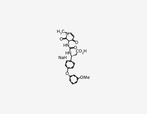 COc1cccc(Oc2ccc([C@H](CC(=O)O)NC(=O)NC3C(=O)C=CN(C)C3=O)cc2)c1.[NaH]